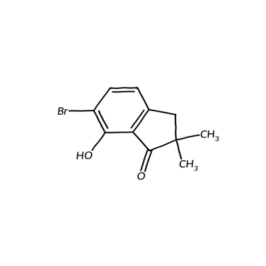 CC1(C)Cc2ccc(Br)c(O)c2C1=O